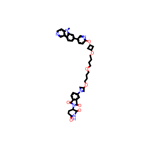 Cn1c2ccncc2c2ccc(-c3ccc(O[C@H]4C[C@H](OCCCCOCCCCOC5CN(c6ccc7c(c6)C(=O)N(C6CCC(=O)NC6=O)C7=O)C5)C4)nc3)cc21